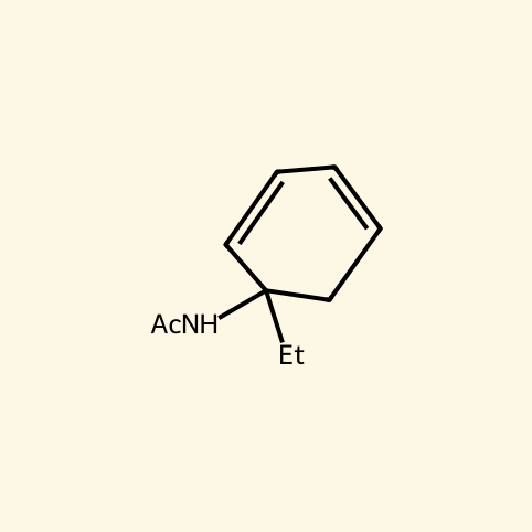 CCC1(NC(C)=O)C=CC=CC1